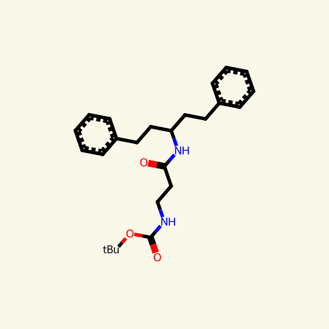 CC(C)(C)OC(=O)NCCC(=O)NC(CCc1ccccc1)CCc1ccccc1